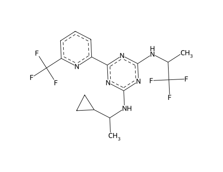 CC(Nc1nc(NC(C)C(F)(F)F)nc(-c2cccc(C(F)(F)F)n2)n1)C1CC1